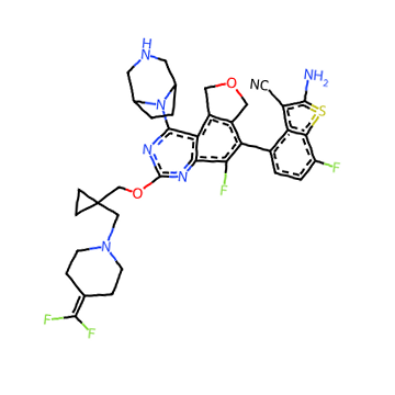 N#Cc1c(N)sc2c(F)ccc(-c3c4c(c5c(N6C7CCC6CNC7)nc(OCC6(CN7CCC(=C(F)F)CC7)CC6)nc5c3F)COC4)c12